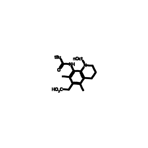 CCCCCCCCN1CCCc2c(C)c(CC(=O)O)c(C)c(NC(=O)C(C)(C)C)c21